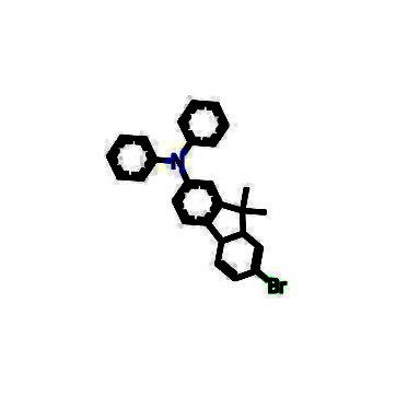 CC1(C)c2cc(N(c3ccccc3)c3ccccc3)ccc2C2C=CC(Br)=CC21